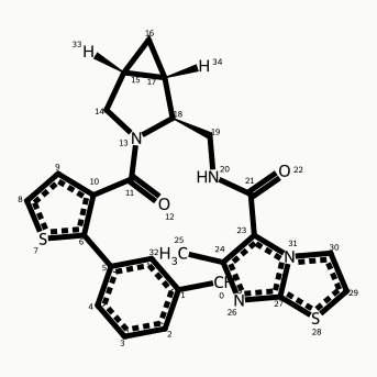 Cc1cccc(-c2sccc2C(=O)N2C[C@@H]3C[C@@H]3[C@H]2CNC(=O)c2c(C)nc3sccn23)c1